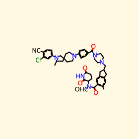 Cc1cc2c(cc1C(=O)N(C=O)C1CCC(=O)NC1=O)CC(CN1CCN(C(=O)c3ccc(N4CCC5(CC4)CC(C)N(c4ccc(C#N)c(Cl)c4)C5)cc3)CC1)C2